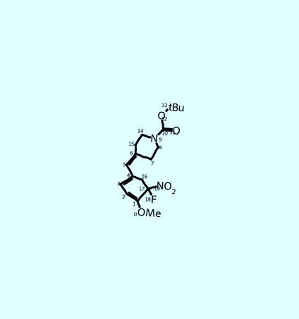 COC1=CC=C(C=C2CCN(C(=O)OC(C)(C)C)CC2)CC1(F)[N+](=O)[O-]